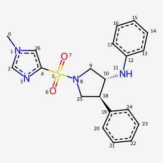 Cn1cnc(S(=O)(=O)N2C[C@H](Nc3ccccc3)[C@@H](c3ccccc3)C2)c1